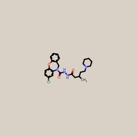 CC(CCN1CCCCC1)CC(=O)NNC(=O)N1Cc2ccccc2Oc2ccc(Cl)cc21